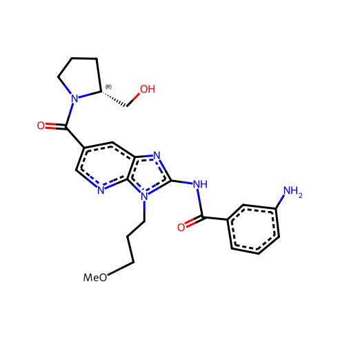 COCCCn1c(NC(=O)c2cccc(N)c2)nc2cc(C(=O)N3CCC[C@@H]3CO)cnc21